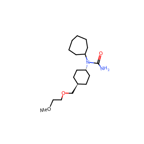 COCCOC[C@H]1CC[C@H](N(C(N)=O)C2CCCCCC2)CC1